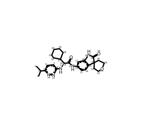 CC(C)c1ccc(N[C@H](C(=O)Nc2ccc3c(c2)NC(=O)C32CCOCC2)C2CCCCC2)nn1